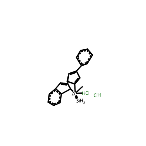 CC1=Cc2ccccc2[CH]1[Zr]([CH3])([CH3])(=[SiH2])[C]1=CC(c2ccccc2)=CC1.Cl.Cl